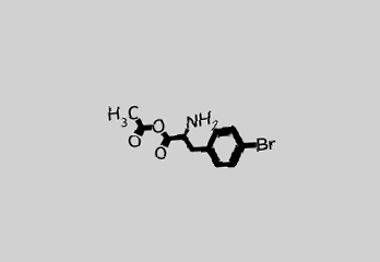 CC(=O)OC(=O)[C@@H](N)Cc1ccc(Br)cc1